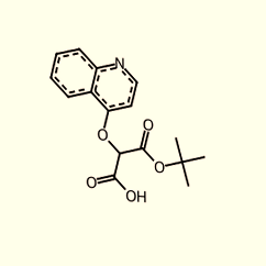 CC(C)(C)OC(=O)C(Oc1ccnc2ccccc12)C(=O)O